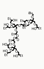 CCC(C)COCC(COCC(C)CC)(COCC(O)CC)COCC(CC)OC(CC)COCC(COCC(O)CC)(COCC(O)CC)COCC(CC)OC(=O)OC(CC)COCC(COCC(O)CC)(COCC(O)CC)COCC(O)CC